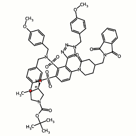 COc1ccc(CN(Cc2ccc(OC)cc2)S(=O)(=O)c2c(S(=O)(=O)N[C@@H]3CCN(C(=O)OC(C)(C)C)C3)ccc(N3CCC(CN4C(=O)c5ccccc5C4=O)CC3=O)c2-c2nnn(Cc3ccc(OC)cc3)n2)cc1